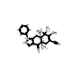 CC1(C)C(O)=C(C#N)C[C@]2(C)C(=O)c3cnn(-c4ccccc4)c3C[C@@H]12